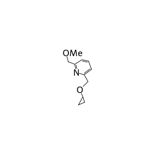 COCc1cccc(COC2CC2)n1